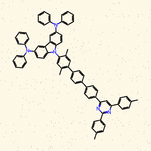 Cc1ccc(-c2cc(-c3ccc(-c4ccc(-c5cc(C)c(-n6c7ccc(N(c8ccccc8)c8ccccc8)cc7c7cc(N(c8ccccc8)c8ccccc8)ccc76)cc5C)cc4)cc3)nc(-c3ccc(C)cc3)n2)cc1